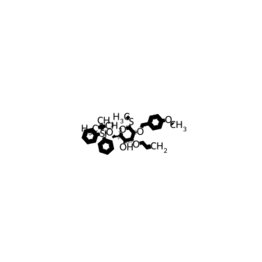 C=CCO[C@H]1[C@@H](O)[C@@H](CO[Si](c2ccccc2)(c2ccccc2)C(C)(C)C)O[C@@H](SC)[C@@H]1OCc1ccc(OC)cc1